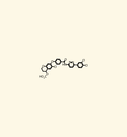 O=C(O)OC1CCOc2cc(Oc3ccc(C(=O)Nc4ccc(-c5ccc(Cl)c(Cl)c5)nn4)cc3)c(Cl)cc21